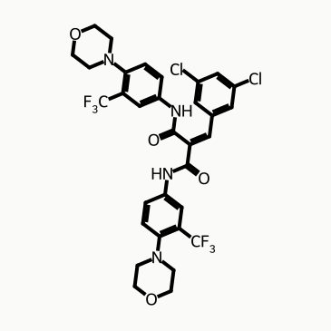 O=C(Nc1ccc(N2CCOCC2)c(C(F)(F)F)c1)C(=Cc1cc(Cl)cc(Cl)c1)C(=O)Nc1ccc(N2CCOCC2)c(C(F)(F)F)c1